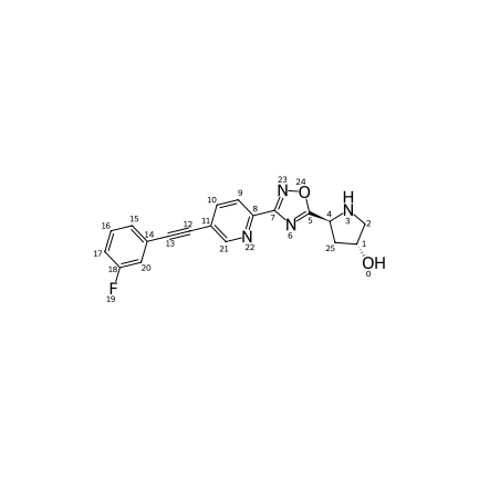 O[C@H]1CN[C@H](c2nc(-c3ccc(C#Cc4cccc(F)c4)cn3)no2)C1